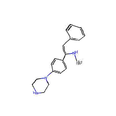 CCCCN/C(=C\c1ccccc1)c1ccc(N2CCNCC2)cc1